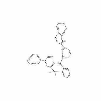 CC1(C)c2ccccc2N(c2cccc(-c3ccc4ccccc4n3)c2)c2ccc(-c3ccccc3)cc21